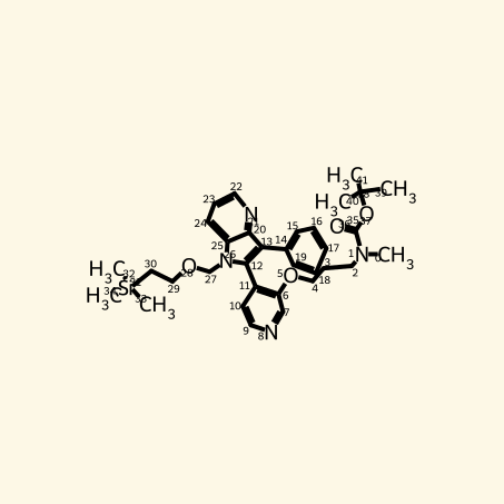 CN(CCCOc1cnccc1-c1c(-c2ccccc2)c2ncccc2n1COCC[Si](C)(C)C)C(=O)OC(C)(C)C